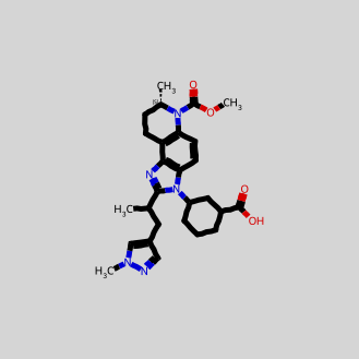 COC(=O)N1c2ccc3c(nc(C(C)Cc4cnn(C)c4)n3C3CCCC(C(=O)O)C3)c2CC[C@@H]1C